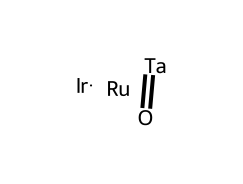 [Ir].[O]=[Ta].[Ru]